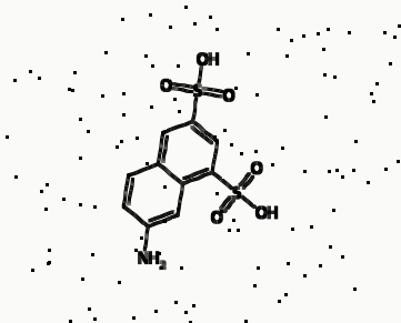 Nc1ccc2cc(S(=O)(=O)O)cc(S(=O)(=O)O)c2c1